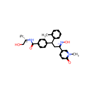 Cc1ccccc1C(C/C(=N/O)c1ccc(=O)n(C)c1)c1ccc(C(=O)N[C@H](CO)C(C)C)cc1